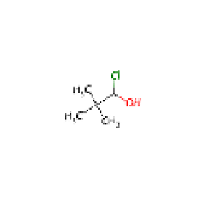 CC(C)(C)C(O)Cl